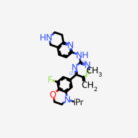 C=C(F)/C(=N\C(=N/C)Nc1ccc2c(n1)CCNC2)c1cc(F)c2c(c1)N(C(C)C)CCO2